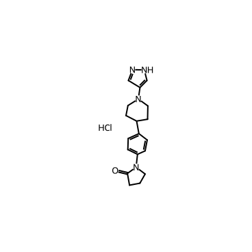 Cl.O=C1CCCN1c1ccc(C2CCN(c3cn[nH]c3)CC2)cc1